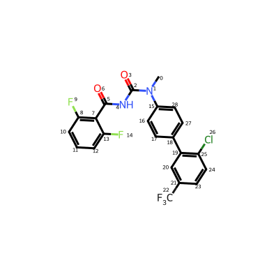 CN(C(=O)NC(=O)c1c(F)cccc1F)c1ccc(-c2cc(C(F)(F)F)ccc2Cl)cc1